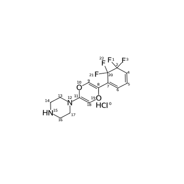 Cl.FC1(F)C=CC=C(C2=COC(N3CCNCC3)=CO2)C1(F)F